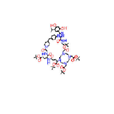 CCNC(=O)c1nnc(-c2cc(C(C)C)c(O)cc2O)n1-c1ccc(CC2CCN(C(=O)CNC(=O)[C@H](CCC(=O)OC(C)(C)C)NC(=O)CC[C@H](C(=O)OC(C)(C)C)N3CCN(CC(=O)OC(C)(C)C)CCN(CC(=O)OC(C)(C)C)CCN(CC(=O)OC(C)(C)C)CC3)CC2)cc1